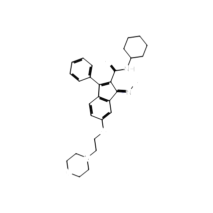 O=C(NC1CCCCC1)C1=C(c2ccccc2)c2ccc(OCCN3CCOCC3)cc2/C1=N/O